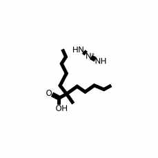 CCCCCC(C)(CCCCC)C(=O)O.N=[N+]=N